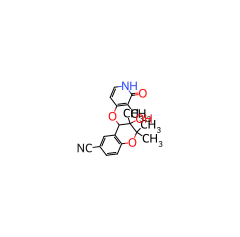 Cc1c(OC2c3cc(C#N)ccc3OC(C)(C)C2(C)O)cc[nH]c1=O